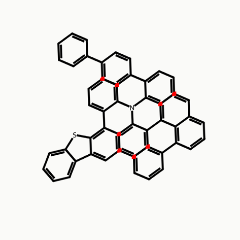 c1ccc(-c2ccc(-c3ccccc3N(c3ccccc3-c3cccc4c3sc3ccccc34)c3ccccc3-c3cccc4cccc(-c5ccccc5)c34)cc2)cc1